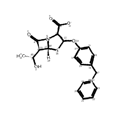 C[C@@H](O)[C@H]1C(=O)N2C(C(=O)[O-])C(Oc3ccc(C[n+]4ccccc4)cc3)S[C@H]12